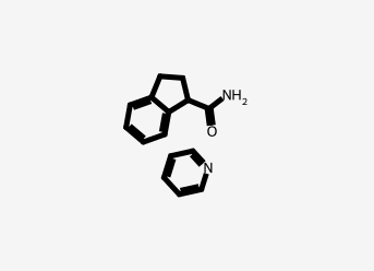 NC(=O)C1CCc2ccccc21.c1ccncc1